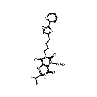 CCCCCCn1c(=O)n(CCCCc2noc(-c3ccccn3)n2)c(=O)c2nc(C(F)F)[nH]c(=O)c21